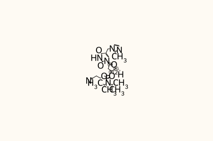 [2H]C[C@H]1O[C@@H](n2cc(Cn3ccnc3C)c(=O)[nH]c2=O)C[C@H]1OP(OCCC#N)N(C(C)C)C(C)C